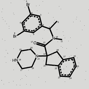 CC(c1cc(Br)cc(Br)c1)N(C)C(=O)C1(N2CCNCC2)Cc2ccccc2C1